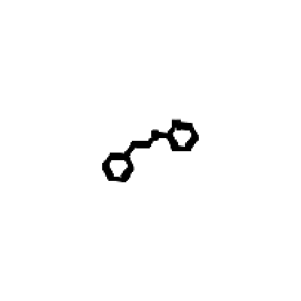 C(=Cc1ccccc1)Sc1ccccn1